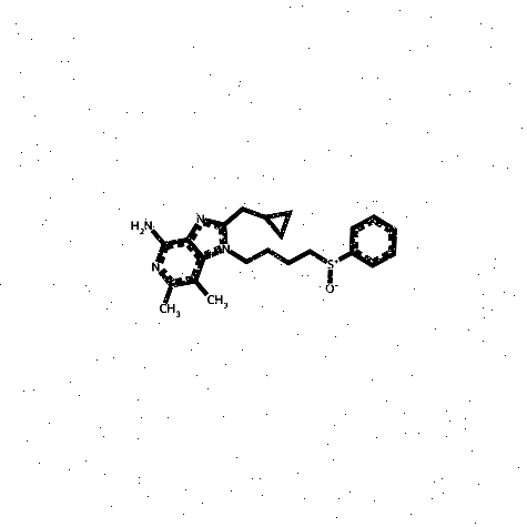 Cc1nc(N)c2nc(CC3CC3)n(CCCC[S+]([O-])c3ccccc3)c2c1C